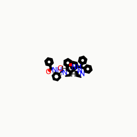 O=C(N[C@@H]1CCCC[C@@H]1C(=O)N1CC[C@@H]2[C@H](c3ccnn3C(c3ccccc3)(c3ccccc3)c3ccccc3)Nc3ccccc3[C@@H]21)c1ccccc1